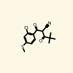 CSc1ccc(C(=O)C(C#N)C(=O)C(C)(C)C)c(Cl)c1